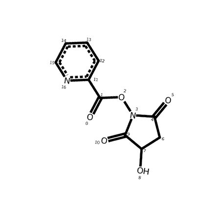 O=C(ON1C(=O)CC(O)C1=O)c1ccccn1